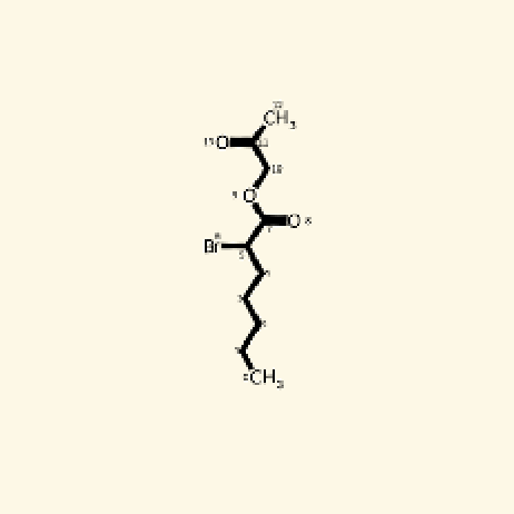 CCCCCC(Br)C(=O)OCC(C)=O